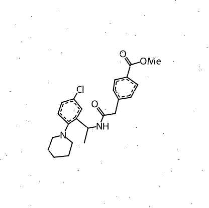 COC(=O)c1ccc(CC(=O)NC(C)c2cc(Cl)ccc2N2CCCCC2)cc1